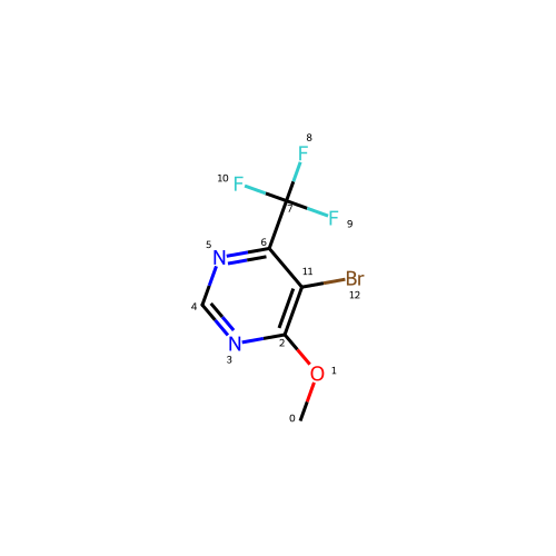 COc1ncnc(C(F)(F)F)c1Br